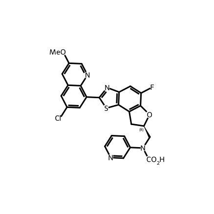 COc1cnc2c(-c3nc4cc(F)c5c(c4s3)C[C@H](CN(C(=O)O)c3cccnc3)O5)cc(Cl)cc2c1